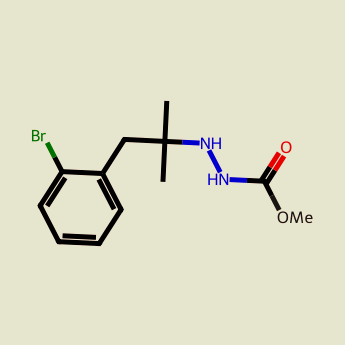 COC(=O)NNC(C)(C)Cc1ccccc1Br